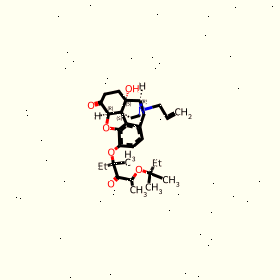 C=CCN1CC[C@]23c4c5ccc(OC(C)(CC)C(=O)C(C)OC(C)(C)CC)c4O[C@H]2C(=O)CC[C@@]3(O)[C@H]1C5